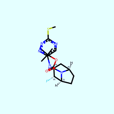 CSc1ncc(N[C@@H]2C[C@H]3CC[C@@H]([C@@H]2F)N3C(=O)OC(C)(C)C)nn1